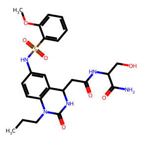 CCCN1C(=O)NC(CC(=O)NC(CO)C(N)=O)c2cc(NS(=O)(=O)c3ccccc3OC)ccc21